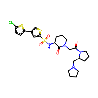 O=C1[C@@H](NS(=O)(=O)c2cc(-c3ccc(Cl)s3)cs2)CCCN1CC(=O)N1CCC[C@H]1CN1CCCC1